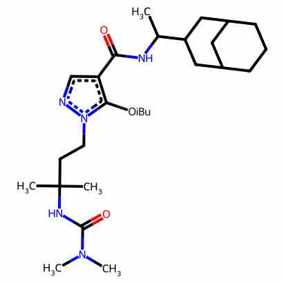 CC(C)COc1c(C(=O)NC(C)C2CC3CCCC(C3)C2)cnn1CCC(C)(C)NC(=O)N(C)C